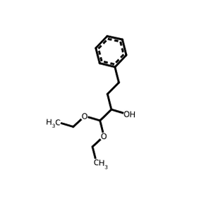 CCOC(OCC)C(O)CCc1ccccc1